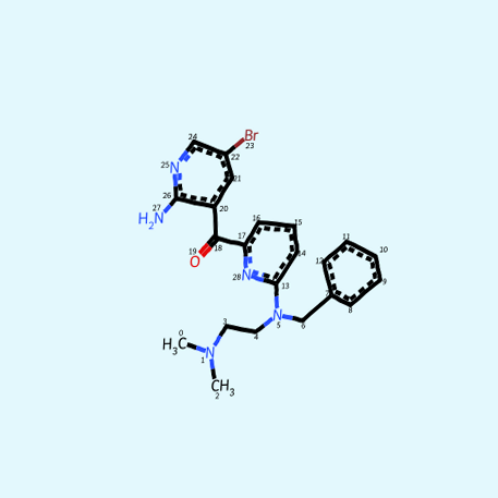 CN(C)CCN(Cc1ccccc1)c1cccc(C(=O)c2cc(Br)cnc2N)n1